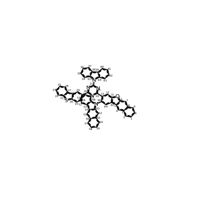 c1ccc2cc3c(cc2c1)oc1cc(-c2nc(-c4ccc5sc6ccccc6c5c4)nc(-n4c5ccccc5c5ccccc54)n2)c(-n2c4ccccc4c4cc5ccccc5cc42)cc13